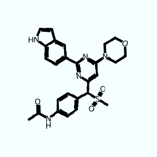 CC(=O)Nc1ccc(C(c2cc(N3CCOCC3)nc(-c3ccc4[nH]ccc4c3)n2)S(C)(=O)=O)cc1